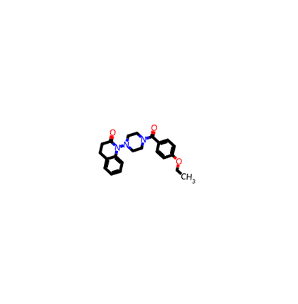 CCOc1ccc(C(=O)N2CCN(N3C(=O)CCc4ccccc43)CC2)cc1